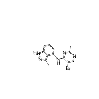 Cc1ncc(Br)c(Nc2cccc3[nH]nc(C)c23)n1